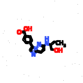 CCC(CO)Nc1ccc2ncc(-c3ccc(C(=O)O)cc3)n2n1